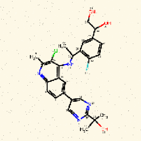 Cc1nc2ccc(-c3cnc(C(C)(C)O)nc3)cc2c(NC(C)c2cc(C(O)CO)ccc2F)c1Cl